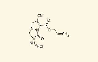 C=CCOC(=O)C1=C(C#N)CN2C[C@@H](N)C(=O)N12.Cl